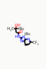 CC(C)(C)n1c(NC(=O)CC(C)(O)C(C)(C)C)nc2ccc(C(F)(F)F)nc21